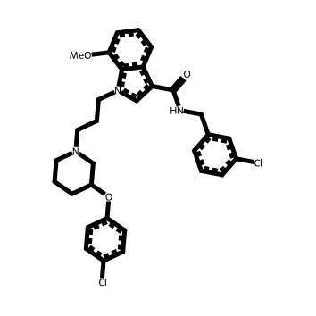 COc1cccc2c(C(=O)NCc3cccc(Cl)c3)cn(CCCN3CCCC(Oc4ccc(Cl)cc4)C3)c12